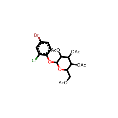 CC(=O)OCC1OC(Oc2ccc(Br)cc2Cl)C(OC(C)=O)C(OC(C)=O)C1OC(C)=O